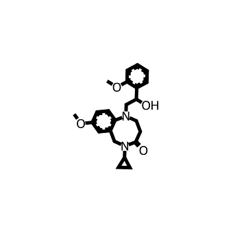 COc1ccc2c(c1)CN(C1CC1)C(=O)CCN2CC(O)c1ccccc1OC